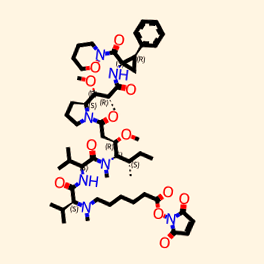 CC[C@H](C)[C@@H]([C@@H](CC(=O)N1CCC[C@H]1[C@H](OC)[C@@H](C)C(=O)N[C@@]1(C(=O)N2CCCCO2)C[C@@H]1c1ccccc1)OC)N(C)C(=O)[C@@H](NC(=O)[C@H](C(C)C)N(C)CCCCCC(=O)ON1C(=O)C=CC1=O)C(C)C